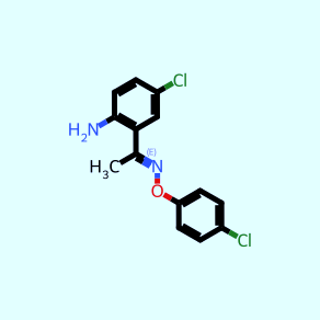 C/C(=N\Oc1ccc(Cl)cc1)c1cc(Cl)ccc1N